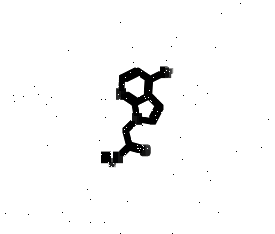 NC(=O)Cn1ccc2c(Br)ccnc21